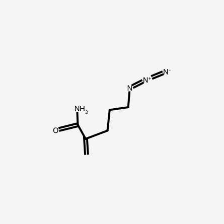 C=C(CCCN=[N+]=[N-])C(N)=O